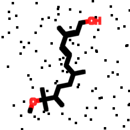 COC(C)(C)C(C)CCC(C)CC=CC(C)=CCO